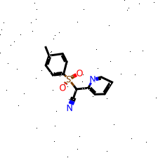 Cc1ccc(S(=O)(=O)C(C#N)c2ccccn2)cc1